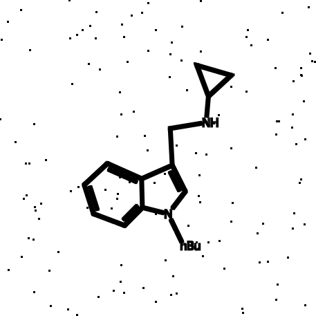 CCCCn1cc(CNC2CC2)c2ccccc21